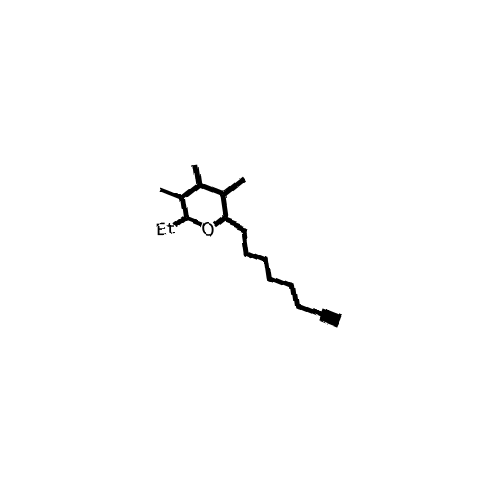 C#CCCCCCCC1OC(CC)C(C)C(C)C1C